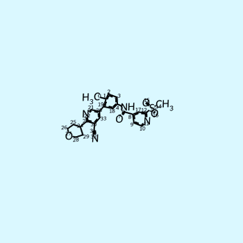 Cc1ccc(NC(=O)c2ccnc(S(C)(=O)=O)c2)cc1-c1cnc(C2CCOCC2)c(C#N)c1